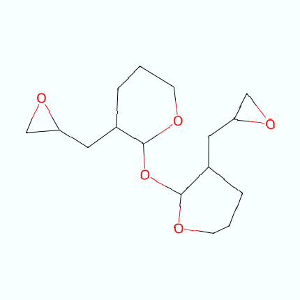 C1COC(OC2OCCCC2CC2CO2)C(CC2CO2)C1